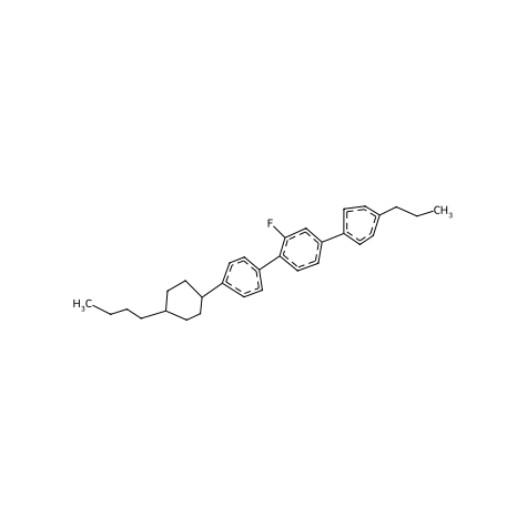 CCCCC1CCC(c2ccc(-c3ccc(-c4ccc(CCC)cc4)cc3F)cc2)CC1